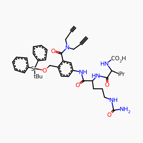 C#CCN(CC#C)C(=O)c1cc(NC(=O)C(CCCNC(N)=O)NC(=O)C(NC(=O)O)C(C)C)ccc1CO[Si](c1ccccc1)(c1ccccc1)C(C)(C)C